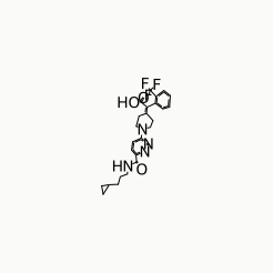 O=C(O)C(=C1CCN(c2ccc(C(=O)NCCCC3CC3)nn2)CC1)c1ccccc1C(F)(F)F